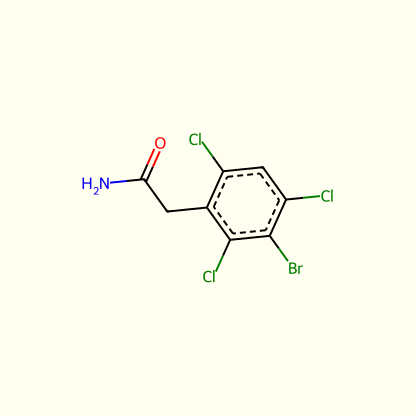 NC(=O)Cc1c(Cl)cc(Cl)c(Br)c1Cl